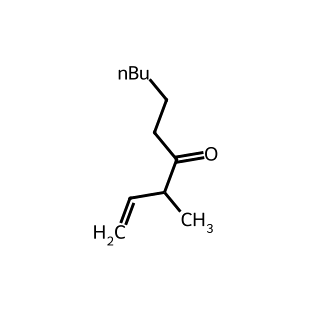 C=CC(C)C(=O)CCCCCC